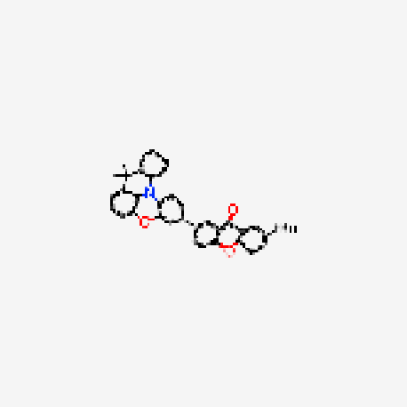 CC(C)(C)c1ccc2oc3ccc(-c4ccc5c(c4)Oc4cccc6c4N5c4ccccc4C6(C)C)cc3c(=O)c2c1